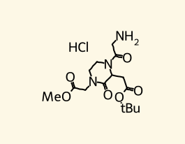 COC(=O)CN1CCN(C(=O)CN)C(CC(=O)OC(C)(C)C)C1=O.Cl